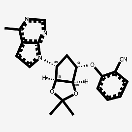 Cc1ncnc2c1ccn2[C@@H]1C[C@H](Oc2ccccc2C#N)[C@H]2OC(C)(C)O[C@H]21